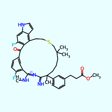 CN/C1=N\C(=N)C(C)(c2cccc(CCC(=O)OC)c2)CCCC(C)(C)CSCCc2c(c(F)cc3[nH]ccc23)C(=O)c2ccc(F)c1c2